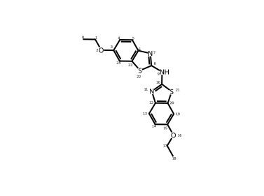 CCOc1ccc2nc(Nc3nc4ccc(OCC)cc4s3)sc2c1